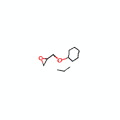 C1CCC(OCC2CO2)CC1.CCC